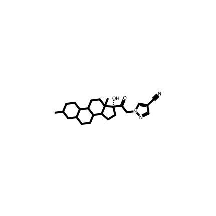 CC1CCC2C(CCC3C2CCC2(C)C3CC[C@]2(O)C(=O)Cn2cc(C#N)cn2)C1